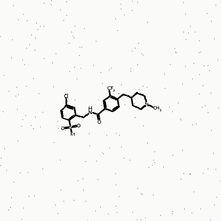 CCS(=O)(=O)c1ccc(Cl)cc1CNC(=O)c1ccc(CC2CCN(C)CC2)c(C(F)(F)F)c1